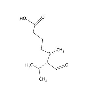 CC(C)[C@@H](C=O)[N+](C)CCCC(=O)O